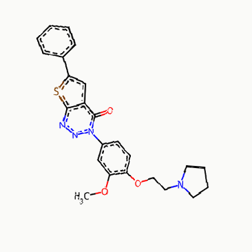 COc1cc(-n2nnc3sc(-c4ccccc4)cc3c2=O)ccc1OCCN1CCCC1